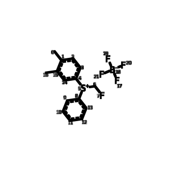 Cc1ccc([S+](CF)c2ccccc2)cc1C.F[B-](F)(F)F